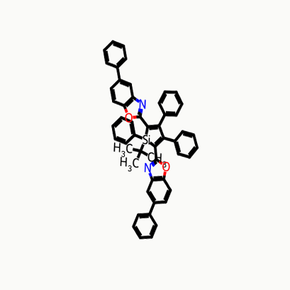 CC(C)(C)[Si]1(c2ccccc2)C(c2nc3cc(-c4ccccc4)ccc3o2)=C(c2ccccc2)C(c2ccccc2)=C1c1nc2cc(-c3ccccc3)ccc2o1